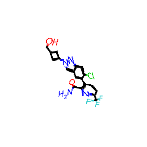 NC(=O)c1nc(C(F)(F)F)ccc1-c1cc2cn(C3CC(CO)C3)nc2cc1Cl